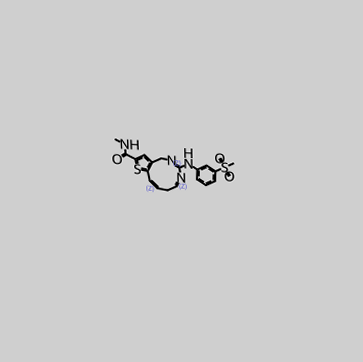 CNC(=O)c1cc2c(s1)/C=C\C/C=N\C(Nc1cccc(S(C)(=O)=O)c1)=N/C2